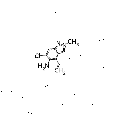 C=Cc1c(N)c(Cl)cc2nn(C)cc12